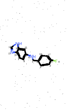 Fc1ccc(CNc2ccc3nc[nH]c3c2)cc1